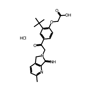 Cc1ccc2c(n1)C(=N)N(CC(=O)c1ccc(OCC(=O)O)c(C(C)(C)C)c1)C2.Cl